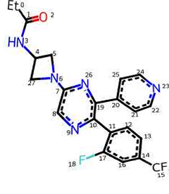 CCC(=O)NC1CN(c2cnc(-c3ccc(C(F)(F)F)cc3F)c(-c3ccncc3)n2)C1